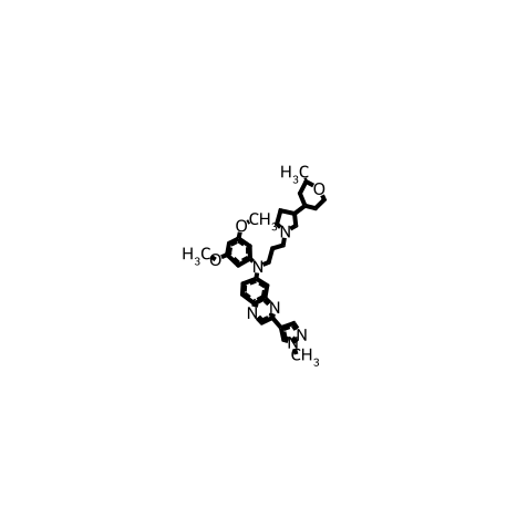 COc1cc(OC)cc(N(CCCN2CCC(C3CCO[C@H](C)C3)C2)c2ccc3ncc(-c4cnn(C)c4)nc3c2)c1